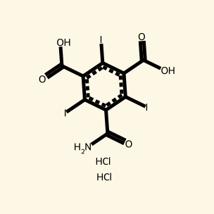 Cl.Cl.NC(=O)c1c(I)c(C(=O)O)c(I)c(C(=O)O)c1I